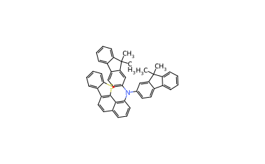 CC1(C)c2ccccc2-c2ccc(N(c3ccc4c(c3)C(C)(C)c3ccccc3-4)c3cccc4ccc5c6ccccc6sc5c34)cc21